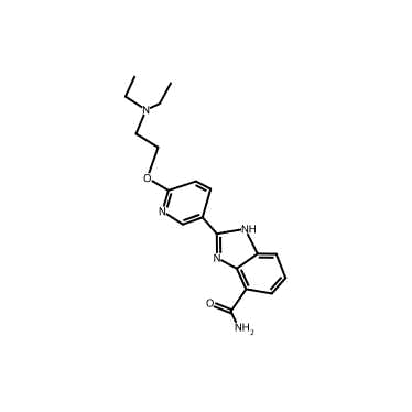 CCN(CC)CCOc1ccc(-c2nc3c(C(N)=O)cccc3[nH]2)cn1